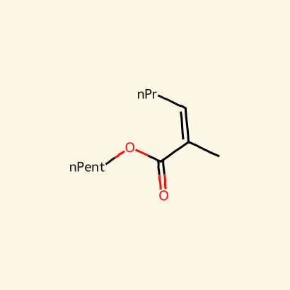 CCCC=C(C)C(=O)OCCCCC